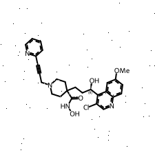 COc1ccc2ncc(Cl)c([C@H](O)CCC3(C(=O)NO)CCN(CC#Cc4ccccn4)CC3)c2c1